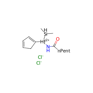 CCCCCC(=O)[NH][Hf+2]([C]1=CC=CC1)[SiH](C)C.[Cl-].[Cl-]